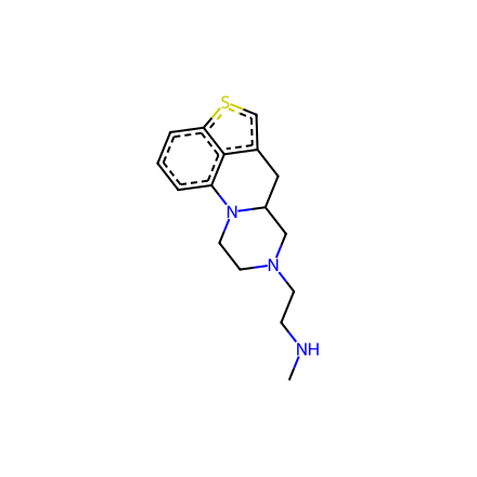 CNCCN1CCN2c3cccc4scc(c34)CC2C1